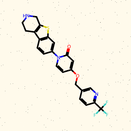 O=c1cc(OCc2ccc(C(F)(F)F)nc2)ccn1-c1ccc2c3c(sc2c1)CNCC3